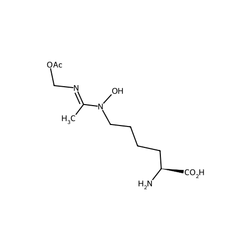 CC(=O)OC/N=C(\C)N(O)CCCC[C@H](N)C(=O)O